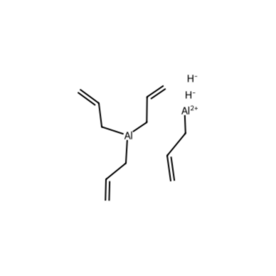 C=C[CH2][Al+2].C=C[CH2][Al]([CH2]C=C)[CH2]C=C.[H-].[H-]